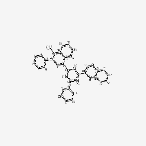 Clc1c(-c2ccccc2)cc(-c2nc(-c3ccccc3)nc(-c3ccc4ccccc4c3)n2)c2ccccc12